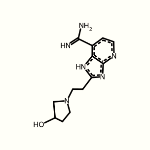 N=C(N)c1ccnc2nc(CCN3CCC(O)C3)[nH]c12